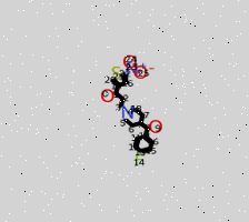 O=C(CCN1CCC(C(=O)c2ccc(F)cc2)CC1)c1csc([N+](=O)[O-])c1